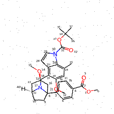 COC(=O)c1ccc(C23CC[C@@H](C[C@@H](OC)C2)N3Cc2c(OC)cc(C)c3c2ccn3C(=O)OC(C)(C)C)cc1